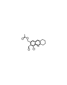 CC(=O)OCc1cc2cc3c(nc2c(Cl)c1C=O)CCCC3